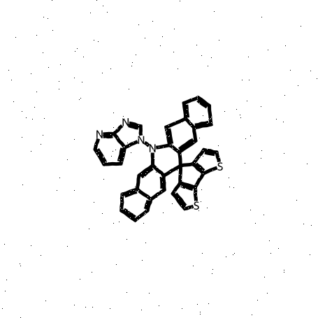 c1ccc2cc3c(cc2c1)N(n1cnc2ncccc21)c1cc2ccccc2cc1C31c2ccsc2-c2sccc21